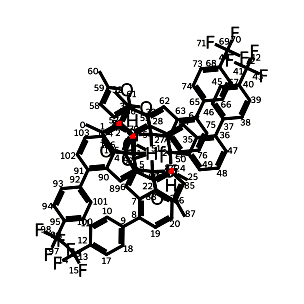 Cc1ccc(C2=Cc3c(-c4ccc(C(F)(F)F)cc4)cccc3[C]23[SiH](C)[C]2(C(c4ccc(C)o4)=Cc4c(-c5ccc(C(F)(F)F)cc5)cccc42)[Hf]32([Cl])([Cl])[C]3(C(c4ccc(C)o4)=Cc4c(-c5ccc(C(F)(F)F)cc5)cccc43)[SiH](C)[C]23C(c2ccc(C)o2)=Cc2c(-c4ccc(C(F)(F)F)cc4)cccc23)o1